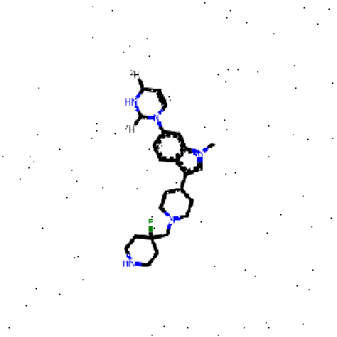 [2H]C1C=CN(c2ccc3c(C4CCN(CC5(F)CCNCC5)CC4)cn(C)c3c2)C([2H])N1